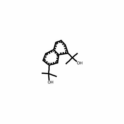 CC(C)(O)c1ccc2cccc(C(C)(C)O)c2c1